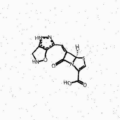 O=C(O)C1=CS[C@@H]2C(=Cc3n[nH]c4c3ONC4)C(=O)N12